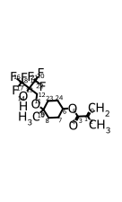 C=C(C)C(=O)OC1CCC(C)(OCC(O)(C(F)(F)F)C(F)(F)F)CC1